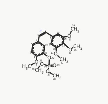 COc1ccc(/C=C\c2cc(OC)c(OC)c(OC)c2)cc1OP(=O)(OC)OC